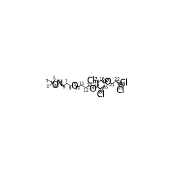 CC(C)(C)O/N=C/CCOCCCCOc1c(Cl)cc(OCC=C(Cl)Cl)cc1Cl